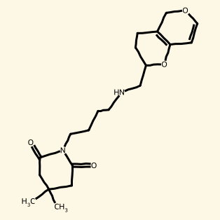 CC1(C)CC(=O)N(CCCCNCC2CCC3=C(C=COC3)O2)C(=O)C1